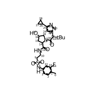 Cc1ccc(NS(=O)(=O)CCNC(=O)C2CC(O)CN2C(=O)[C@@H](n2cc(C3CC3)nn2)C(C)(C)C)cc1F